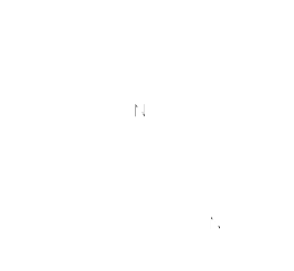 CC1CCCN(C2CCCN(C)C2)C1